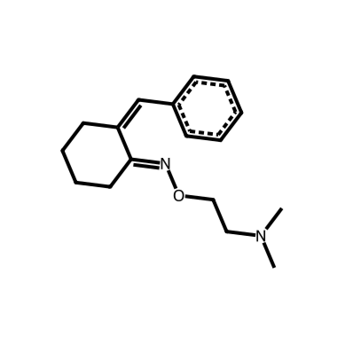 CN(C)CCON=C1CCCCC1=Cc1ccccc1